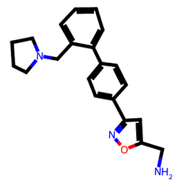 NCc1cc(-c2ccc(-c3ccccc3CN3CCCC3)cc2)no1